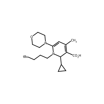 CC1=C(C(=O)O)C(C2CC2)N(CCCC(C)(C)C)C(N2CCOCC2)=C1